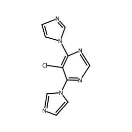 Clc1c(-n2ccnc2)ncnc1-n1ccnc1